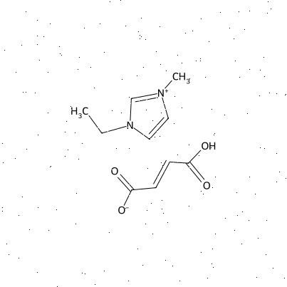 CCn1cc[n+](C)c1.O=C([O-])C=CC(=O)O